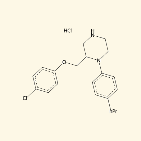 CCCc1ccc(N2CCNCC2COc2ccc(Cl)cc2)cc1.Cl